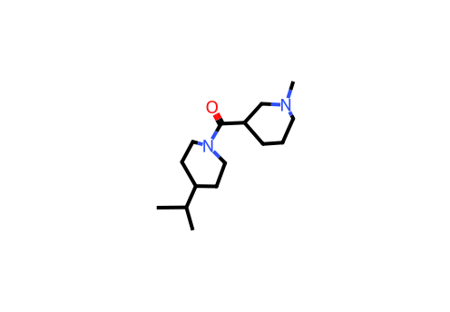 CC(C)C1CCN(C(=O)C2CCCN(C)C2)CC1